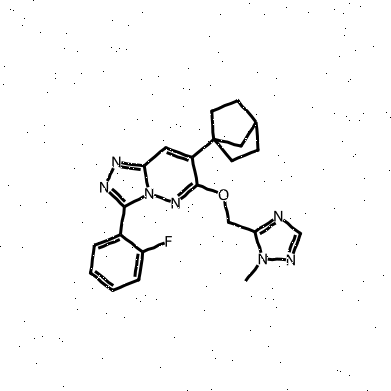 Cn1ncnc1COc1nn2c(-c3ccccc3F)nnc2cc1C12CCC(CC1)C2